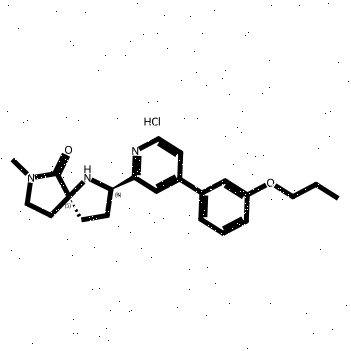 CCCOc1cccc(-c2ccnc([C@H]3CC[C@@]4(CCN(C)C4=O)N3)c2)c1.Cl